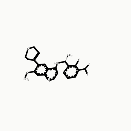 COc1cc2nccc(N[C@H](C)c3cccc(C(F)F)c3F)c2cc1C1=CCOCC1